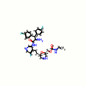 NC(C(=O)Nc1cncc(F)c1CC[C@@H]1CNC[C@@H](COC(=O)NCC(F)(F)F)O1)C(c1ccc(F)cc1)c1ccc(F)cc1